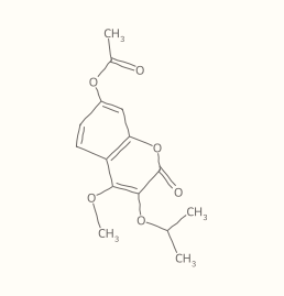 COc1c(OC(C)C)c(=O)oc2cc(OC(C)=O)ccc12